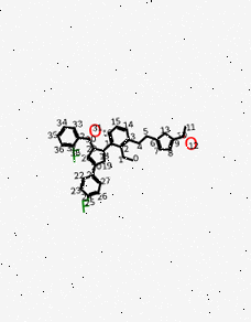 CCc1c(CCC2=CC=C(C(C)=O)C2)cccc1C1CC(c2ccc(F)cc2)=CC1C(=O)c1ccccc1F